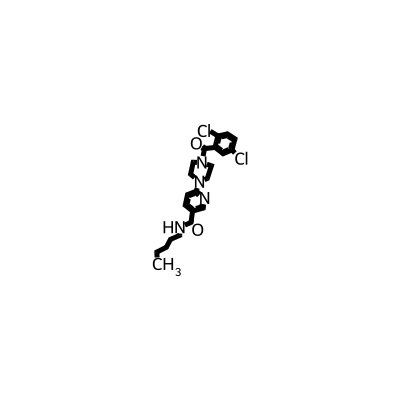 CCCCCNC(=O)c1ccc(N2CCN(C(=O)c3cc(Cl)ccc3Cl)CC2)nc1